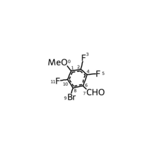 COc1c(F)c(F)c(C=O)c(Br)c1F